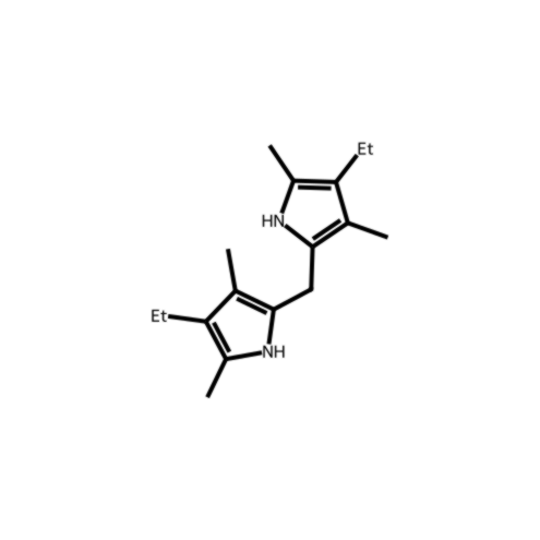 CCc1c(C)[nH]c(Cc2[nH]c(C)c(CC)c2C)c1C